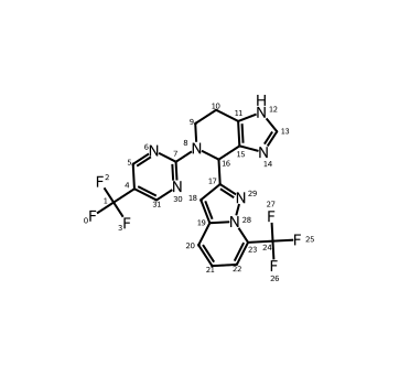 FC(F)(F)c1cnc(N2CCc3[nH]cnc3C2c2cc3cccc(C(F)(F)F)n3n2)nc1